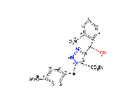 CCOC(=O)c1c(C(O)c2ccccc2[N+](=O)[O-])nnn1Cc1ccc(OC)cc1